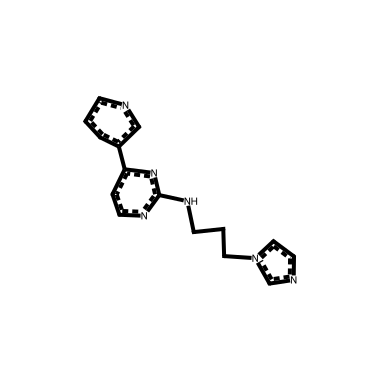 c1cncc(-c2ccnc(NCCCn3ccnc3)n2)c1